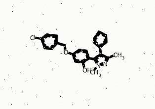 Cc1nn(C)c(-c2ccc(OCc3ccc(Cl)cc3)cc2O)c1-c1ccccc1